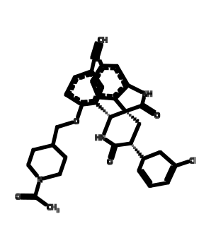 C#Cc1ccc(OCC2CCN(C(C)=O)CC2)c([C@H]2NC(=O)[C@@H](C3C=CC=C(Cl)C3)C[C@]23C(=O)Nc2cc(Cl)ccc23)c1